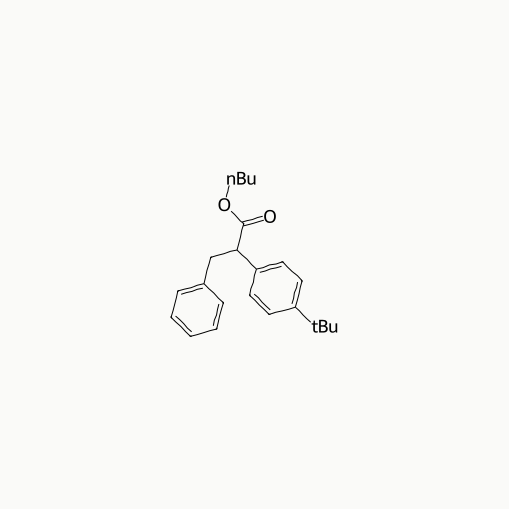 CCCCOC(=O)C(Cc1ccccc1)c1ccc(C(C)(C)C)cc1